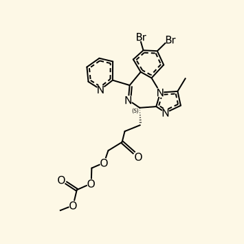 COC(=O)OCOCC(=O)CC[C@@H]1N=C(c2ccccn2)c2cc(Br)c(Br)cc2-n2c(C)cnc21